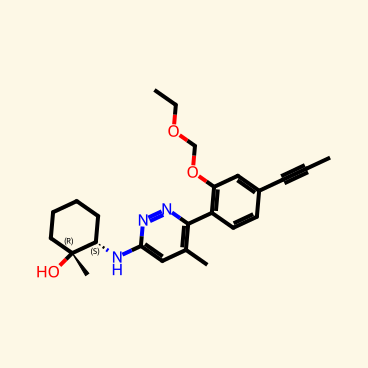 CC#Cc1ccc(-c2nnc(N[C@H]3CCCC[C@@]3(C)O)cc2C)c(OCOCC)c1